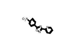 O=[N+]([O-])c1ccc(-c2nc(-c3ccccn3)no2)cc1